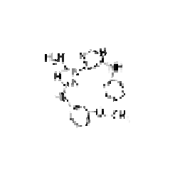 CCOc1cccc(Nc2nc(N)n(-c3cc(Nc4ccccc4)ncn3)n2)c1